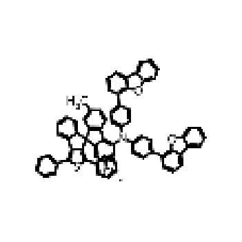 Cc1ccc2c(c1)C1(c3ccccc3-c3c(-c4ccccc4)sc(-c4ccccc4)c31)c1cc(C)cc(N(c3ccc(-c4cccc5c4oc4ccccc45)cc3)c3ccc(-c4cccc5c4oc4ccccc45)cc3)c1-2